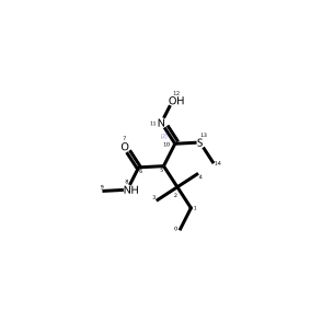 CCC(C)(C)C(C(=O)NC)/C(=N/O)SC